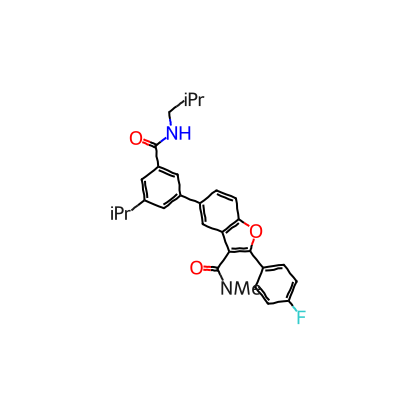 CNC(=O)c1c(-c2ccc(F)cc2)oc2ccc(-c3cc(C(=O)NCC(C)C)cc(C(C)C)c3)cc12